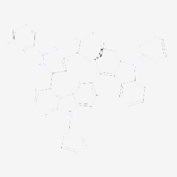 c1ccc(-c2cc(-c3cccc4c3c3cc(-c5cccc6c5c5ccccc5n6-c5ccccc5)ccc3n4-c3ccccc3)nc(-c3ccccc3)n2)cc1